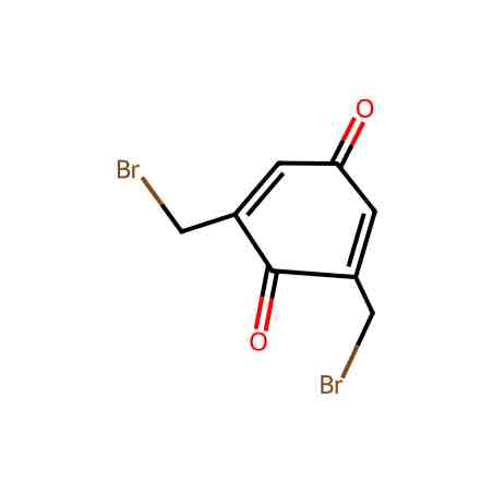 O=C1C=C(CBr)C(=O)C(CBr)=C1